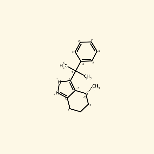 C[C@@H]1CCCC2=N[N]C(C(C)(C)c3ccccc3)=C21